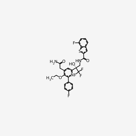 CCOc1c(CC(N)=O)cc([C@@](O)(CNC(=O)c2cc3cccc(F)c3s2)C(F)(F)F)nc1-c1ccc(F)cc1